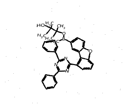 CB(OC(C)(C)C(C)(C)O)c1ccc2oc3cccc(-c4nc(-c5ccccc5)nc(-c5ccccc5)n4)c3c2c1